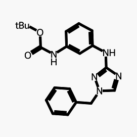 CC(C)(C)OC(=O)Nc1cccc(Nc2ncn(Cc3ccccc3)n2)c1